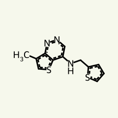 Cc1csc2c(NCc3cccs3)cnnc12